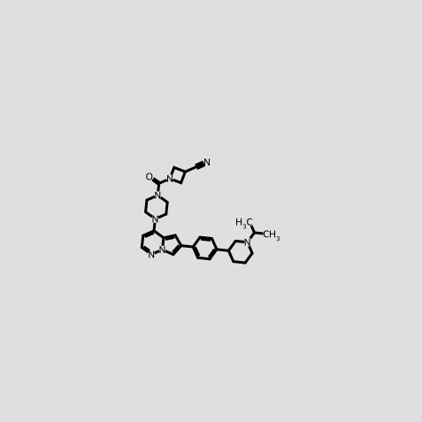 CC(C)N1CCCC(c2ccc(-c3cc4c(N5CCN(C(=O)N6CC(C#N)C6)CC5)ccnn4c3)cc2)C1